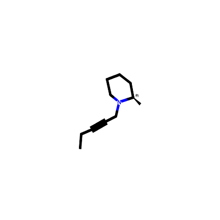 CCC#CCN1CCCC[C@H]1C